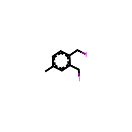 Cc1ccc(CI)c(CI)c1